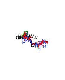 COc1cc(C(=O)NCCCCN(C)C[C@H]2CC[C@H](n3cc(NC(=O)c4coc(-c5ccnc(NCC6CC6)c5)n4)c(C(F)F)n3)CC2)ccc1NC(=O)C1N[C@@H](CC(C)(C)C)[C@](C#N)(c2ccc(Cl)cc2F)[C@H]1c1cccc(Cl)c1F